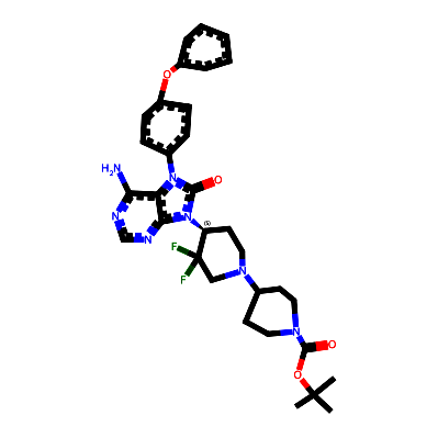 CC(C)(C)OC(=O)N1CCC(N2CC[C@H](n3c(=O)n(-c4ccc(Oc5ccccc5)cc4)c4c(N)ncnc43)C(F)(F)C2)CC1